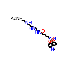 CC(=O)NCCCNCCCCNCCCNC(=O)CCCCCNS(=O)(=O)c1cccc2c(N(C)C)cccc12